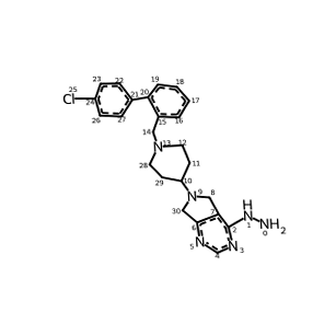 NNc1ncnc2c1CN(C1CCN(Cc3ccccc3-c3ccc(Cl)cc3)CC1)C2